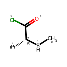 CB[C@@H](C(=O)Cl)C(C)C